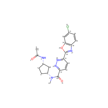 CCC(=O)N[C@H]1CC[C@@H](N(C)C(=O)c2ccc(-c3nc4ccc(Cl)cc4o3)nn2)C1